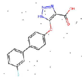 O=C(O)c1nn[nH]c1Oc1ccc(-c2cccc(F)c2)cc1